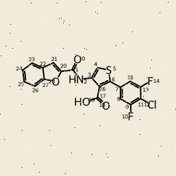 O=C(Nc1csc(-c2cc(F)c(Cl)c(F)c2)c1C(=O)O)c1cc2ccccc2o1